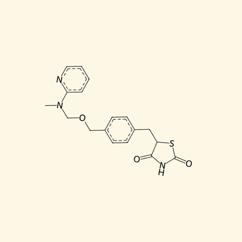 CN(COCc1ccc(CC2SC(=O)NC2=O)cc1)c1ccccn1